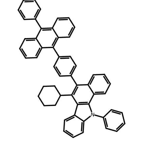 c1ccc(-c2c3ccccc3c(-c3ccc(-c4c(C5CCCCC5)c5c6ccccc6n(-c6ccccc6)c5c5ccccc45)cc3)c3ccccc23)cc1